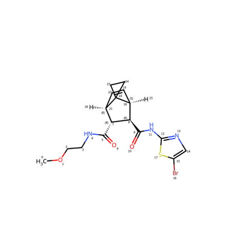 COCCNC(=O)[C@H]1[C@H](C(=O)Nc2ncc(Br)s2)[C@@H]2C=C[C@H]1C21CC1